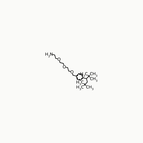 CC(C)(C)CC(c1ccc(COCCOCCOCCN)cc1)C(C)(C)C